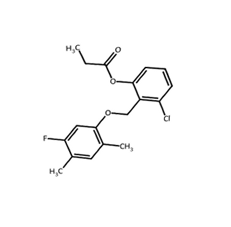 CCC(=O)Oc1cccc(Cl)c1COc1cc(F)c(C)cc1C